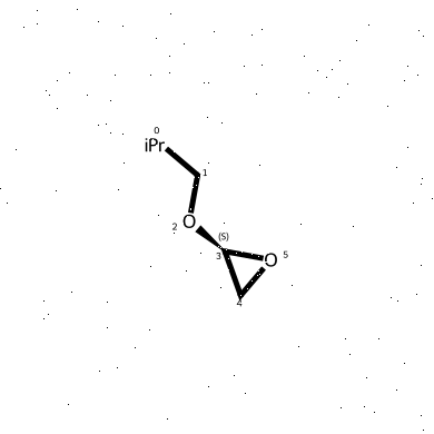 CC(C)CO[C@@H]1CO1